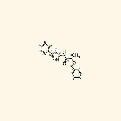 CC(OCc1ccccc1)C(=O)Nc1nnc(-c2ccccn2)[nH]1